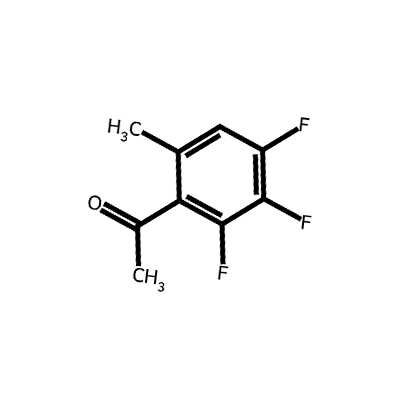 CC(=O)c1c(C)cc(F)c(F)c1F